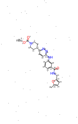 CCCCOC(=O)N1CCC(c2ccc(Nc3cccc(C(=O)NCc4ccc(C)o4)c3)nn2)CC1